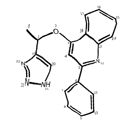 CC(Oc1cc(-c2ccccc2)nc2ccccc12)c1c[nH]nn1